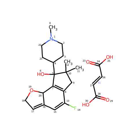 CN1CCC(C2(O)C3=C(CC2(C)C)C(F)=CC2=CCOC23)CC1.O=C(O)/C=C/C(=O)O